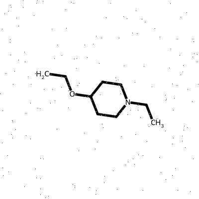 [CH2]COC1CCN(CC)CC1